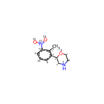 Cc1c(C2CNCCO2)cccc1[N+](=O)[O-]